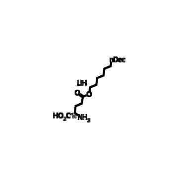 CCCCCCCCCCCCCCCCOC(=O)CC[C@H](N)C(=O)O.[LiH]